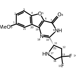 COc1ccc2oc3c(=O)[nH]c([C@@H]4CC(F)(F)CN4)nc3c2c1